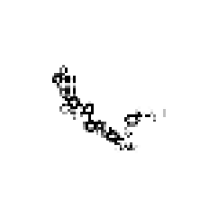 COc1cc(Cn2ncc3c(-c4cccc(-c5ccc(CNC[C@@H]6CCC(=O)N6)c(OC(C)C)c5)c4Cl)cccc32)c(Cl)cc1CN(C)C[C@H]1CC[C@H](C(=O)O)CC1